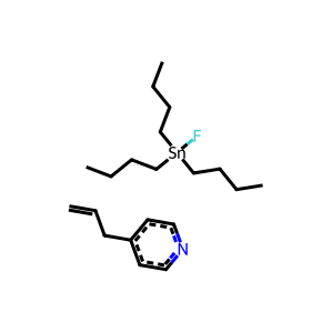 C=CCc1ccncc1.CCC[CH2][Sn]([F])([CH2]CCC)[CH2]CCC